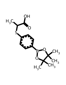 CC(Sc1ccc(B2OC(C)(C)C(C)(C)O2)cc1)C(=O)O